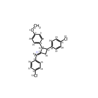 COc1ccc(N2/C(=N/c3ccc(Cl)cc3)CC2c2ccc(Cl)cc2)cc1